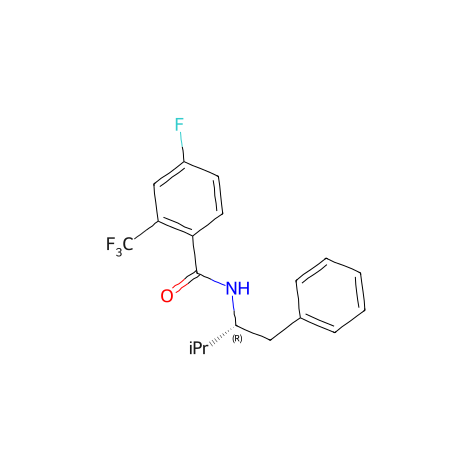 CC(C)[C@@H](Cc1ccccc1)NC(=O)c1ccc(F)cc1C(F)(F)F